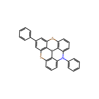 c1ccc(-c2cc3c4c(c2)Sc2cccc5c2B4c2c(cccc2N5c2ccccc2)S3)cc1